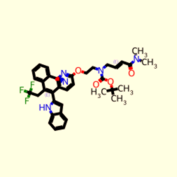 CN(C)C(=O)/C=C/CN(CCOc1ccc(/C(=C(/CC(F)(F)F)c2ccccc2C#N)c2cc3ccccc3[nH]2)cn1)C(=O)OC(C)(C)C